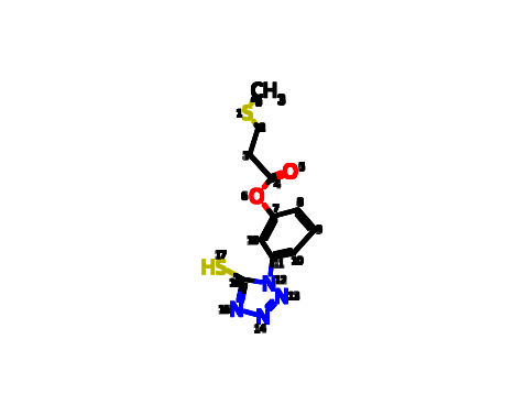 CSCCC(=O)Oc1cccc(-n2nnnc2S)c1